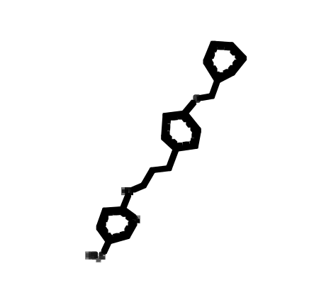 O=C(O)c1ccc(NCCCc2ccc(OCc3ccccc3)cc2)nc1